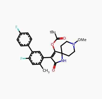 CON1CCC2(CC1)NC(=O)C(c1cc(-c3ccc(F)cc3)c(F)cc1C)=C2OC(=O)C(C)(C)C